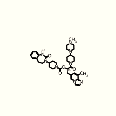 Cc1cc(C[C@@H](OC(=O)N2CCC(N3CCc4ccccc4NC3=O)CC2)C(=O)N2CCC(N3CCN(C)CC3)CC2)cn2ccnc12